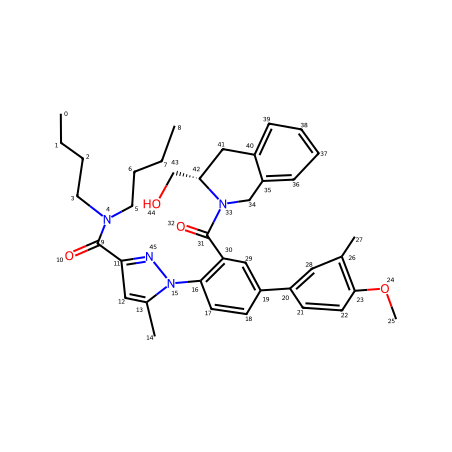 CCCCN(CCCC)C(=O)c1cc(C)n(-c2ccc(-c3ccc(OC)c(C)c3)cc2C(=O)N2Cc3ccccc3C[C@H]2CO)n1